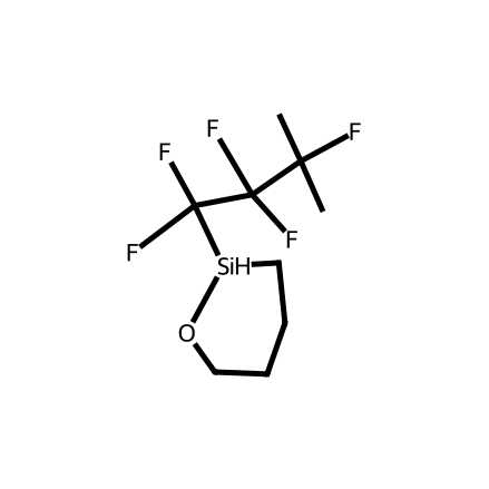 CC(C)(F)C(F)(F)C(F)(F)[SiH]1CCCCO1